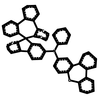 c1ccc(N(c2ccc3c(c2)-c2ccccc2-c2ccccc2O3)c2ccc3c(c2)C2(c4ccccc4-c4ccccc4-c4ccccc42)c2ccccc2-3)cc1